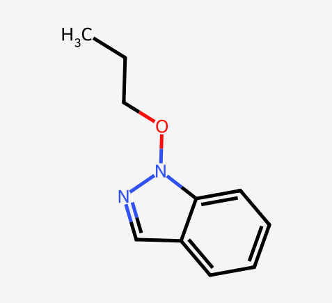 CCCOn1ncc2ccccc21